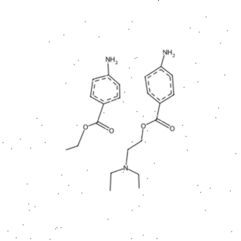 CCN(CC)CCOC(=O)c1ccc(N)cc1.CCOC(=O)c1ccc(N)cc1